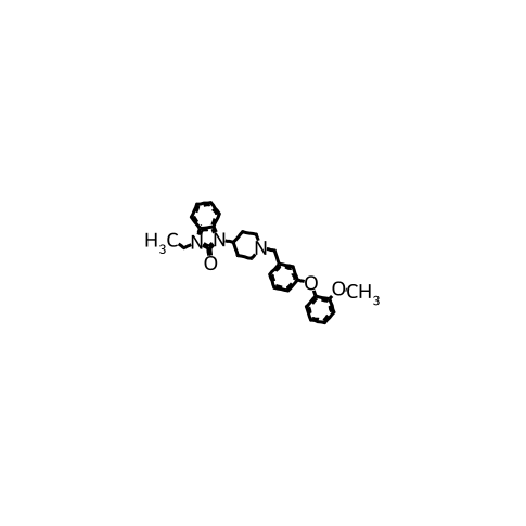 CCn1c(=O)n(C2CCN(Cc3cccc(Oc4ccccc4OC)c3)CC2)c2ccccc21